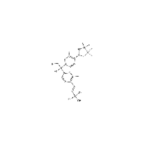 CCC(O)(/C=C/c1ccc(C(CC)(CI)c2ccc(B3OC(C)(C)C(C)(C)O3)c(C)c2)cc1C)CC